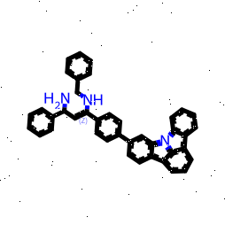 NC(/C=C(\NCc1ccccc1)c1ccc(-c2ccc3c4cccc5c6ccccc6n(c3c2)c54)cc1)c1ccccc1